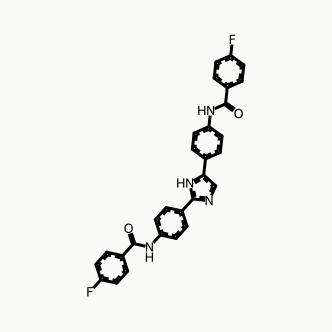 O=C(Nc1ccc(-c2cnc(-c3ccc(NC(=O)c4ccc(F)cc4)cc3)[nH]2)cc1)c1ccc(F)cc1